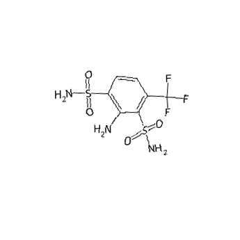 Nc1c(S(N)(=O)=O)ccc(C(F)(F)F)c1S(N)(=O)=O